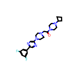 O=C(CN1CCN(c2cnc(-c3cc(F)cc(F)c3)cn2)CC1)N1CCN(C2CCC2)CC1